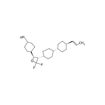 C/C=C/[C@H]1CC[C@H](C2CCC([C@H]3[C@H](C4CCC(CCC)CC4)OC3(F)F)CC2)CC1